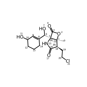 C[C@@]12OC(=O)[C@]1(C(O)C1=CC(O)CCC1)NC(=O)[C@@H]2CCCl